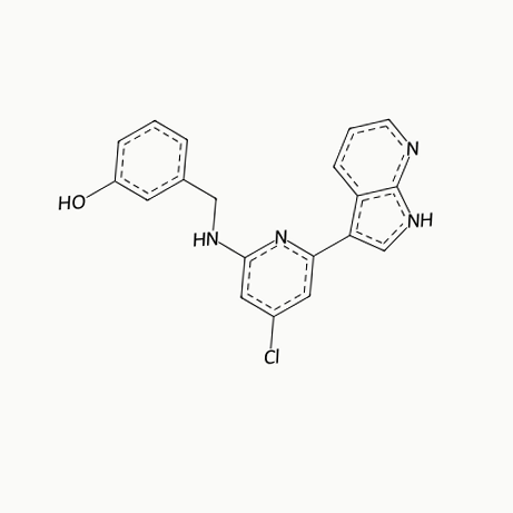 Oc1cccc(CNc2cc(Cl)cc(-c3c[nH]c4ncccc34)n2)c1